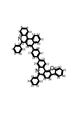 c1ccc(-c2nc3ccccc3c3c2cc(-c2ccc(-c4ccc5c(c4)nc(-c4ccccc4)c4ccc6c7ccccc7oc6c45)cc2)c2ccccc23)cc1